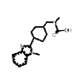 CN(CC1CCC(c2nc3ccccc3n2C)CC1)C(=O)O